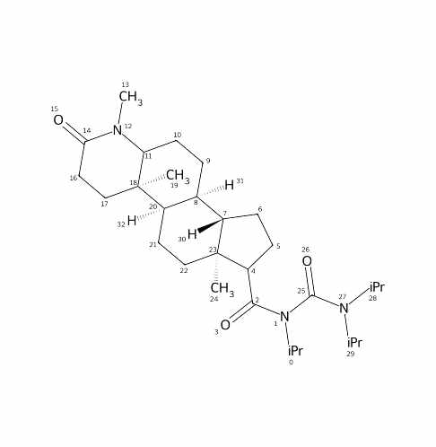 CC(C)N(C(=O)C1CC[C@H]2[C@@H]3CCC4N(C)C(=O)CC[C@]4(C)[C@@H]3CC[C@]12C)C(=O)N(C(C)C)C(C)C